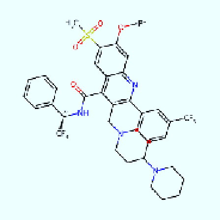 CC(C)Oc1cc2nc(-c3cccc(C(F)(F)F)c3)c(CN3CCC(N4CCCCC4)CC3)c(C(=O)N[C@H](c3ccccc3)C(F)(F)F)c2cc1S(C)(=O)=O